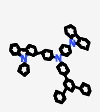 c1ccc(-c2cc(-c3ccccc3)cc(-c3ccc(N(c4ccc(-c5ccc6c7ccccc7n(-c7ccccc7)c6c5)cc4)c4ccc(-n5c6ccccc6c6ccccc65)cc4)cc3)c2)cc1